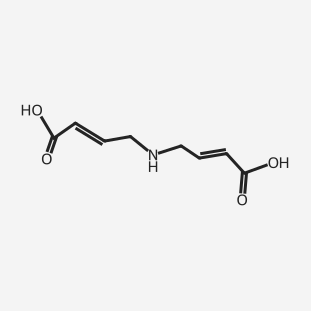 O=C(O)/C=C/CNC/C=C/C(=O)O